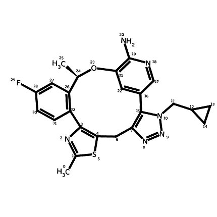 Cc1nc2c(s1)Cc1nnn(CC3CC3)c1-c1cnc(N)c(c1)O[C@H](C)c1cc(F)ccc1-2